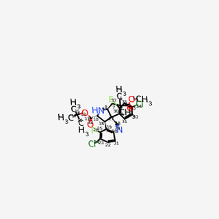 COC(=O)C(C)(C)C[C@@H]1N[C@@H](C(=O)OC(C)(C)C)[C@H](c2cccc(Cl)c2F)[C@@]1(C#N)c1ccc(Cl)cc1F